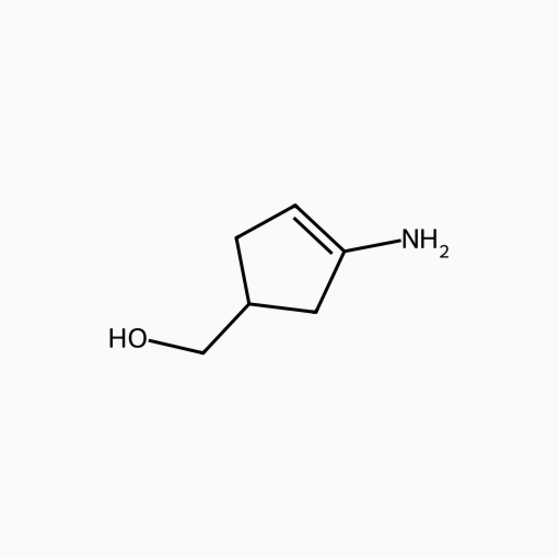 NC1=CCC(CO)C1